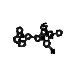 N#Cc1ccc(-n2c3ccccc3c3cc(-c4ccc(-n5c6ccccc6c6ccccc65)c(-c5ccccc5)c4)ccc32)c(-c2nc(-c3ccccc3)cc(-c3ccccc3)n2)c1